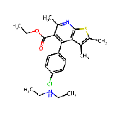 CCNCC.CCOC(=O)c1c(C)nc2sc(C)c(C)c2c1-c1ccc(Cl)cc1